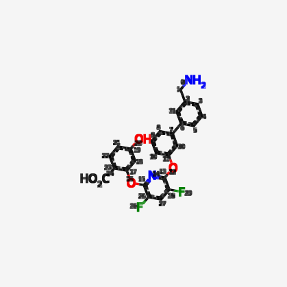 NCc1cccc(-c2cccc(Oc3nc(Oc4cc(O)ccc4C(=O)O)c(F)cc3F)c2)c1